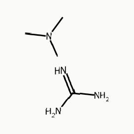 CN(C)C.N=C(N)N